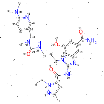 CCn1nc(C)cc1C(=O)Nc1nc2cc(C(N)=O)cc(OC)c2n1CCCNC(=O)N(C)Cc1ccc(N(C)C)nc1